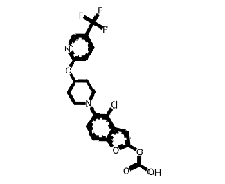 O=C(O)Oc1cc2c(Cl)c(N3CCC(Oc4ccc(C(F)(F)F)cn4)CC3)ccc2o1